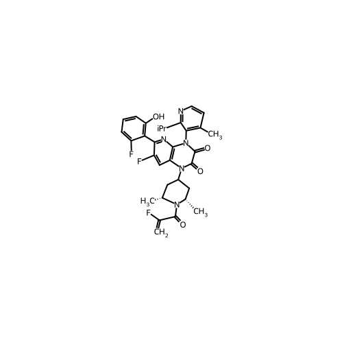 C=C(F)C(=O)N1[C@H](C)CC(n2c(=O)c(=O)n(-c3c(C)ccnc3C(C)C)c3nc(-c4c(O)cccc4F)c(F)cc32)C[C@@H]1C